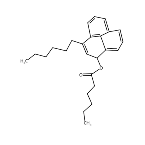 CCCCCCC1=CC(OC(=O)CCCCC)c2cccc3cccc1c23